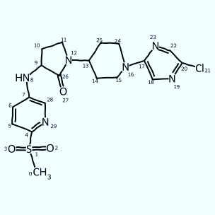 CS(=O)(=O)c1ccc(NC2CCN(C3CCN(c4cnc(Cl)cn4)CC3)C2=O)cn1